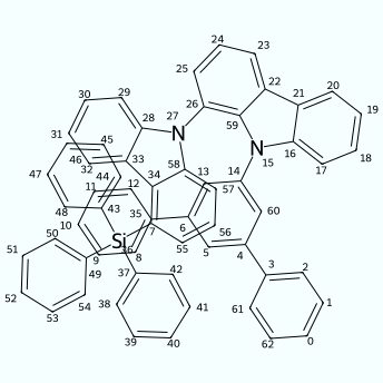 c1ccc(-c2cc(-c3ccccc3)cc(-n3c4ccccc4c4cccc(-n5c6ccccc6c6c([Si](c7ccccc7)(c7ccccc7)c7ccccc7)cccc65)c43)c2)cc1